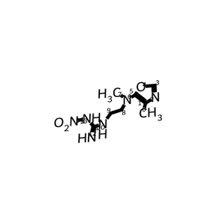 Cc1ncoc1N(C)CCNC(=N)N[N+](=O)[O-]